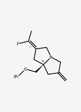 C=C1CN2C/C(=C(\C)F)C[C@@]2(COC(C)C)C1